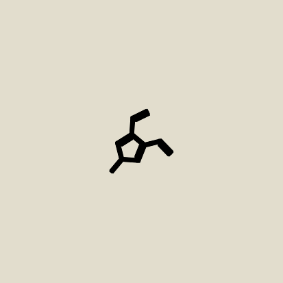 C=CC1=CC(C)C=C1C=C